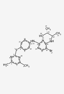 Cc1cc(C)nc(Sc2ccc(Nc3ncc(Br)c(NC(C)[C@@H](C)O)n3)cc2)n1